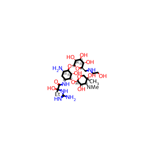 CCC(O)(NC(=N)N)C(=O)N[C@@H]1C[C@H](N)C(O[C@H]2O[C@H](CNCCO)[C@@H](O)[C@H](O)[C@H]2O)[C@H](O)[C@H]1O[C@H]1OC[C@](C)(O)[C@H](NC)[C@H]1O